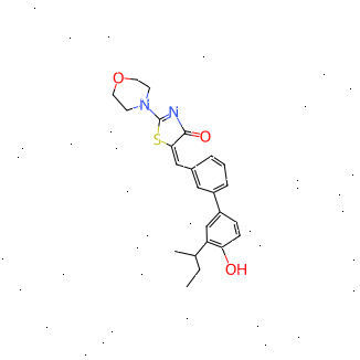 CCC(C)c1cc(-c2cccc(C=C3SC(N4CCOCC4)=NC3=O)c2)ccc1O